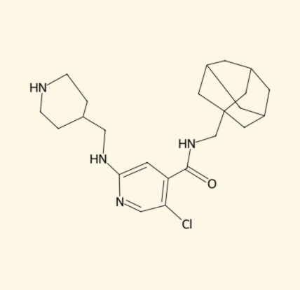 O=C(NCC12CC3CC(CC(C3)C1)C2)c1cc(NCC2CCNCC2)ncc1Cl